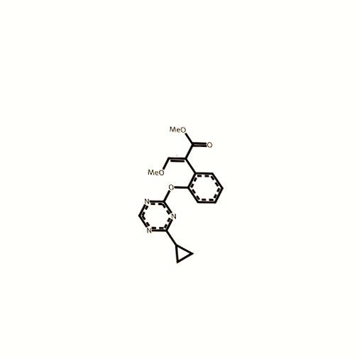 CO/C=C(/C(=O)OC)c1ccccc1Oc1ncnc(C2CC2)n1